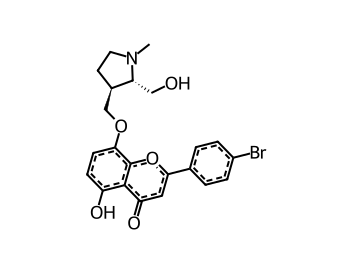 CN1CC[C@H](COc2ccc(O)c3c(=O)cc(-c4ccc(Br)cc4)oc23)[C@H]1CO